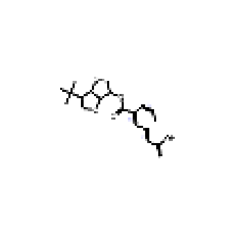 C=C(O)/C=C/C=C(\C=C/C)C(=O)OC1COC2C1OCC2C(C)(C)C